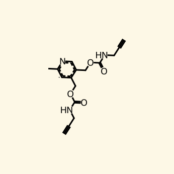 C#CCNC(=O)OCc1[c]c(C)ncc1COC(=O)NCC#C